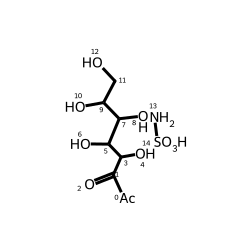 CC(=O)C(=O)C(O)C(O)C(O)C(O)CO.NS(=O)(=O)O